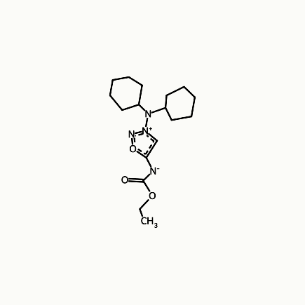 CCOC(=O)[N-]c1c[n+](N(C2CCCCC2)C2CCCCC2)no1